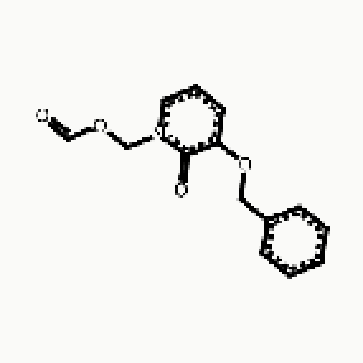 O=COCn1cccc(OCc2ccccc2)c1=O